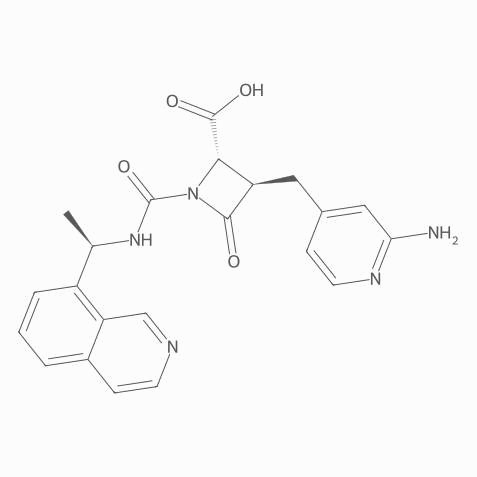 C[C@@H](NC(=O)N1C(=O)[C@H](Cc2ccnc(N)c2)[C@H]1C(=O)O)c1cccc2ccncc12